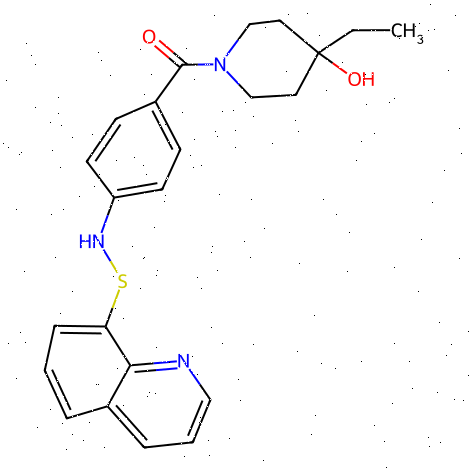 CCC1(O)CCN(C(=O)c2ccc(NSc3cccc4cccnc34)cc2)CC1